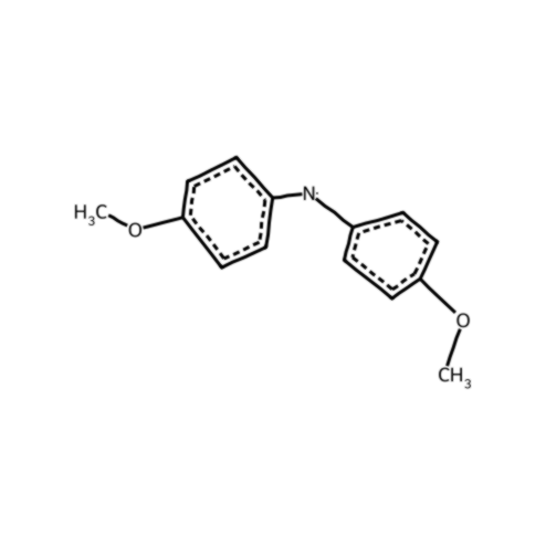 COc1ccc([N]c2ccc(OC)cc2)cc1